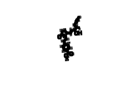 CC#CCC(C)[C@H](O)/C=C/C1CCC(=O)N1CCc1ccc(C(=O)OC)cc1